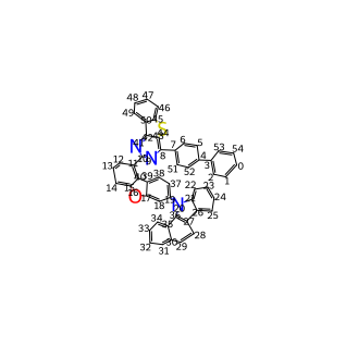 c1ccc(-c2ccc(-c3nc(-c4cccc5oc6cc(-n7c8ccccc8c8ccc9ccccc9c87)ccc6c45)nc4c3sc3ccccc34)cc2)cc1